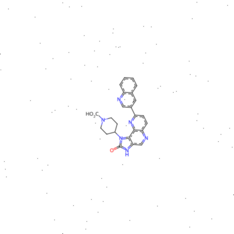 O=C(O)N1CCC(n2c(=O)[nH]c3cnc4ccc(-c5cnc6ccccc6c5)nc4c32)CC1